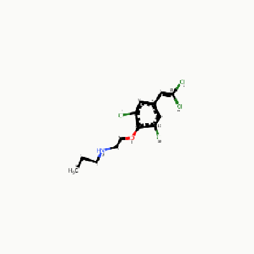 CCCNCCOc1c(Cl)cc(C=C(Cl)Cl)cc1Cl